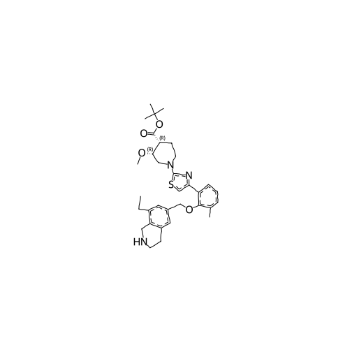 CCc1cc(COc2c(C)cccc2-c2csc(N3CC[C@@H](C(=O)OC(C)(C)C)[C@@H](OC)C3)n2)cc2c1CNCC2